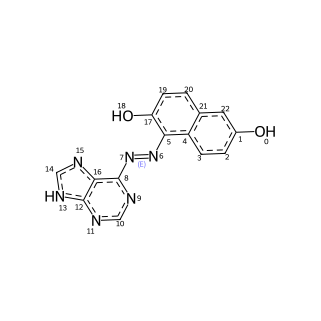 Oc1ccc2c(/N=N/c3ncnc4[nH]cnc34)c(O)ccc2c1